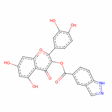 O=C(Oc1c(-c2ccc(O)c(O)c2)oc2cc(O)cc(O)c2c1=O)c1ccc2[nH]ncc2c1